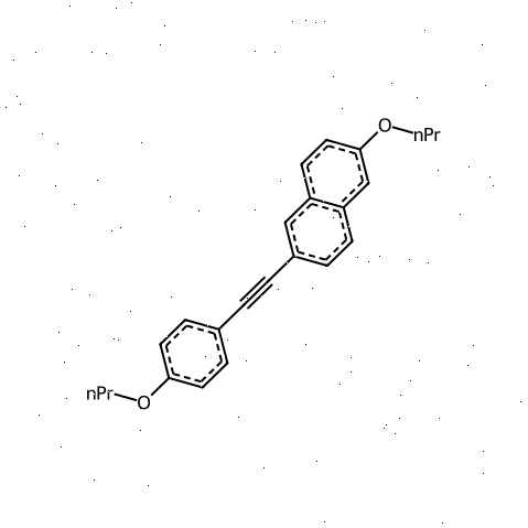 CCCOc1ccc(C#Cc2ccc3cc(OCCC)ccc3c2)cc1